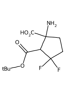 CC(C)(C)OC(=O)C1C(F)(F)CCC1(N)C(=O)O